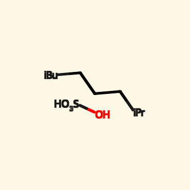 CCC(C)CCCC(C)C.O=S(=O)(O)O